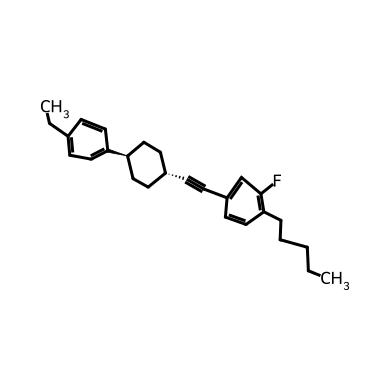 CCCCCc1ccc(C#C[C@H]2CC[C@H](c3ccc(CC)cc3)CC2)cc1F